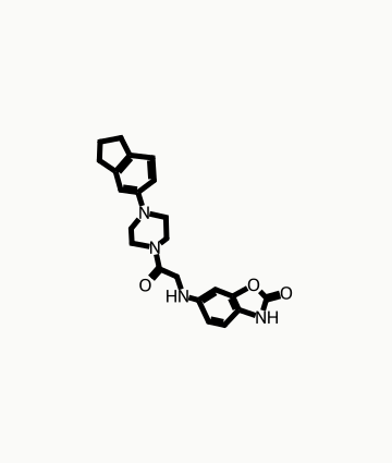 O=C(CNc1ccc2[nH]c(=O)oc2c1)N1CCN(c2ccc3c(c2)CCC3)CC1